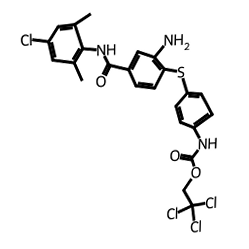 Cc1cc(Cl)cc(C)c1NC(=O)c1ccc(Sc2ccc(NC(=O)OCC(Cl)(Cl)Cl)cc2)c(N)c1